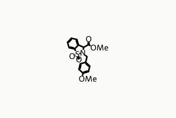 COC(=O)C1c2ccccc2S(=O)(=O)N1Cc1ccc(OC)cc1